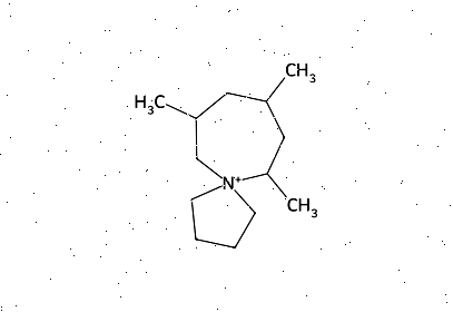 CC1CC(C)C[N+]2(CCCC2)C(C)C1